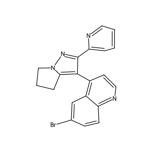 Brc1ccc2nccc(-c3c(-c4ccccn4)nn4c3CCC4)c2c1